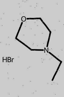 Br.CCN1CCOCC1